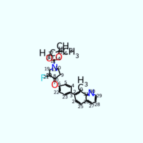 Cc1c(-c2ccc(O[C@@H]3CCN(C(=O)OC(C)(C)C)C[C@@H]3F)cc2)ccc2cccnc12